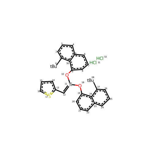 CC(C)(C)c1cccc2cccc([O][Ti](=[CH]c3cccs3)[O]c3cccc4cccc(C(C)(C)C)c34)c12.Cl.Cl